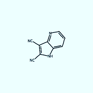 N#Cc1[nH]c2cccnc2c1C#N